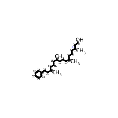 C/C(=C\CO)CCCC(C)CCCC(C)CCCC(C)CCc1ccccc1